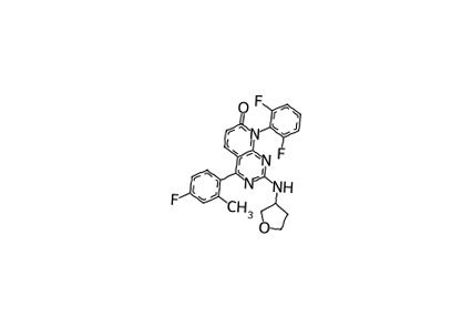 Cc1cc(F)ccc1-c1nc(NC2CCOC2)nc2c1ccc(=O)n2-c1c(F)cccc1F